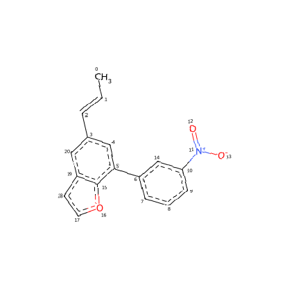 C/C=C/c1cc(-c2cccc([N+](=O)[O-])c2)c2occc2c1